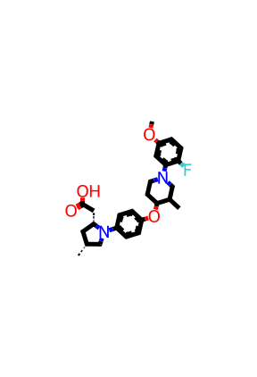 COc1ccc(F)c(N2CCC(Oc3ccc(N4C[C@H](C)C[C@@H]4CC(=O)O)cc3)C(C)C2)c1